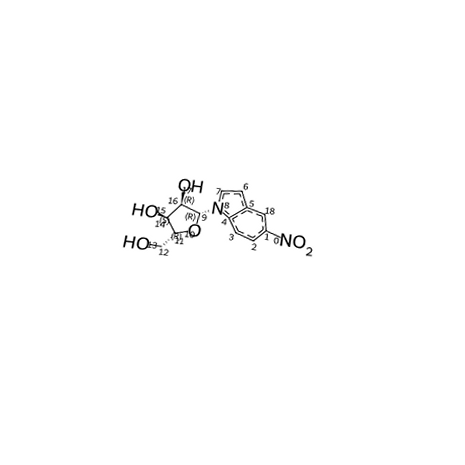 O=[N+]([O-])c1ccc2c(ccn2[C@@H]2O[C@H](CO)[C@@H](O)[C@H]2O)c1